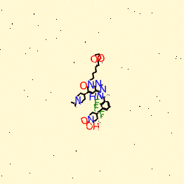 CC(C)N1CCC(c2cc3c(N[C@H](C)c4cccc(C(F)(F)C5CCN(C(=O)O)CC5)c4F)ncnc3n(CCCCCCC3OCCO3)c2=O)CC1